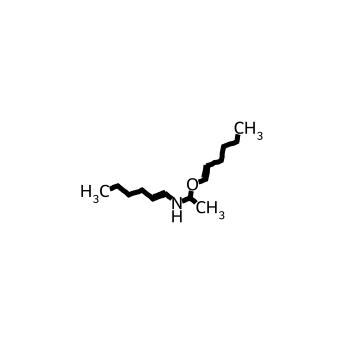 CCCCC=CNC(C)OC=CCCCC